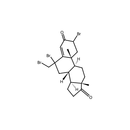 C[C@]12CC(Br)C(=O)C=C1C(Br)(CBr)C[C@@H]1[C@@H]2CC[C@]2(C)C(=O)CC[C@@H]12